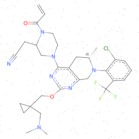 C=CC(=O)N1CCN(c2nc(OCC3(CN(C)C)CC3)nc3c2C[C@H](C)N(c2c(Cl)cccc2C(F)(F)F)C3)CC1CC#N